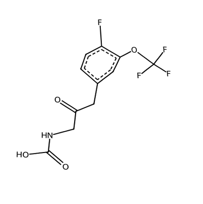 O=C(CNC(=O)O)Cc1ccc(F)c(OC(F)(F)F)c1